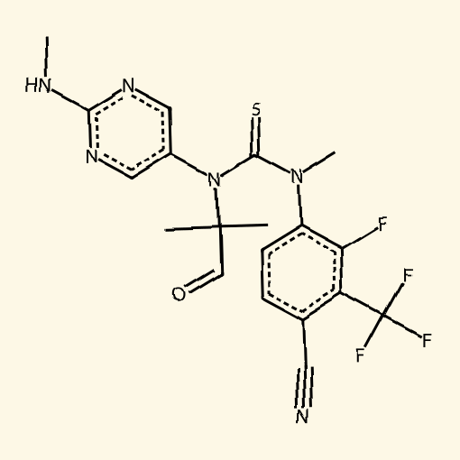 CNc1ncc(N(C(=S)N(C)c2ccc(C#N)c(C(F)(F)F)c2F)C(C)(C)C=O)cn1